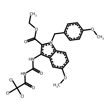 CCOC(=O)c1c(NC(=O)NC(=O)C(Cl)(Cl)Cl)c2cc(OC)ccc2n1Cc1ccc(OC)cc1